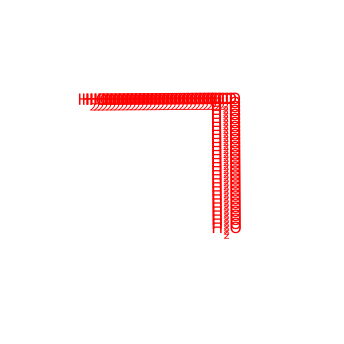 O.O.O.O.O.O.O.O.O.O.O.O.O.O.O.O.O.O.O.O.O.O.O.O.O.O.O.O.O.O.O.O.O.O.O.O.O.O.O.O.O.O.O.O.O.O.O.O.O.O.O.O.O.O.O.O.O.O.O.O.O.O.O.O.O.O